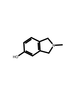 CN1Cc2ccc(O)cc2C1